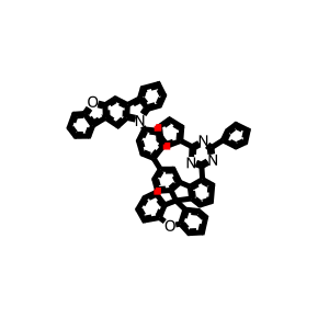 c1ccc(-c2nc(-c3ccccc3)nc(-c3cccc4c3-c3cc(-c5ccc(-n6c7ccccc7c7cc8oc9ccccc9c8cc76)cc5)ccc3C43c4ccccc4Oc4ccccc43)n2)cc1